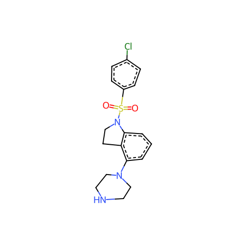 O=S(=O)(c1ccc(Cl)cc1)N1CCc2c(N3CCNCC3)cccc21